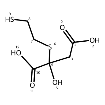 O=C(O)CC(O)(SCCS)C(=O)O